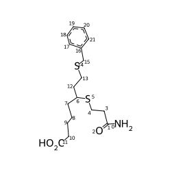 NC(=O)CCSC(CCCCC(=O)O)CCSCc1ccccc1